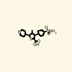 Cc1c(-c2ccncc2)sc(C(=O)O)c1-c1ccc(S(N)(=O)=O)cc1